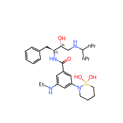 CCCC(CCC)NC[C@@H](O)[C@H](Cc1ccccc1)NC(=O)c1cc(NCC)cc(N2CCCCS2(O)O)c1